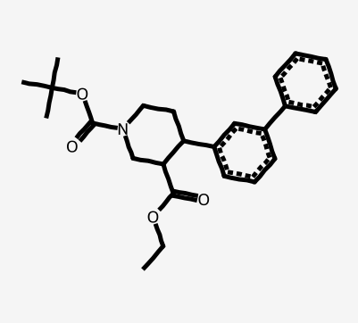 CCOC(=O)C1CN(C(=O)OC(C)(C)C)CCC1c1cccc(-c2ccccc2)c1